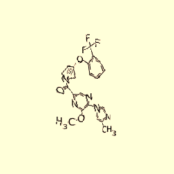 COc1nc(C(=O)N2CC[C@H](Oc3ccccc3C(F)(F)F)C2)cnc1-n1cnc(C)c1